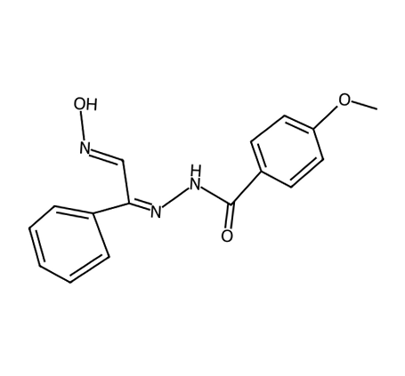 COc1ccc(C(=O)N/N=C(\C=N\O)c2ccccc2)cc1